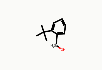 CC(C)(C)c1ccccc1[SiH2]O